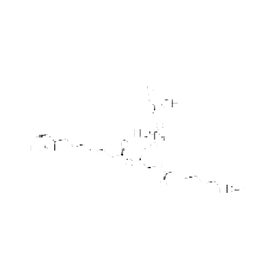 CCCCCCCC/C=C\CCCCCCCC(=O)OC(COC(=O)CCCCCCCCCCCCCCC)COP(=O)(O)OC[C@@H](O)CO